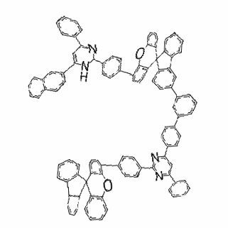 C1=CC2c3ccccc3C3(c4ccccc4Oc4c(-c5ccc(-c6nc(-c7ccccc7)cc(-c7ccc(-c8cccc(-c9ccc%10c(c9)-c9ccccc9C%109c%10ccccc%10Oc%10c(-c%11ccc(C%12N=C(c%13ccccc%13)C=C(c%13ccc%14ccccc%14c%13)N%12)cc%11)cccc%109)c8)cc7)n6)cc5)cccc43)C2C=C1